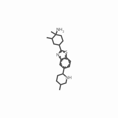 CC1CCC(c2ccc3sc(C4CCC(C)(N)C(C)C4)nc3c2)NC1